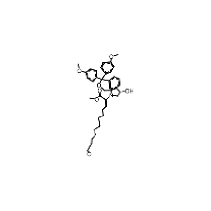 COC(=O)C(CCCCCCCCCC=O)N1C[C@H](O)C[C@@]1(C)COC(c1ccccc1)(c1ccc(OC)cc1)c1ccc(OC)cc1